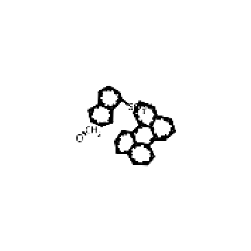 C=O.O=S(=O)(O)c1cccc2ccccc12.c1cc2cccc3c4cccc5cccc(c(c1)c23)c54